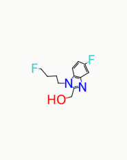 OCc1nc2cc(F)ccc2n1CCCCF